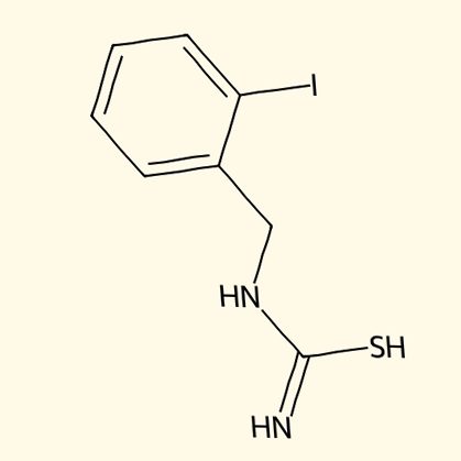 N=C(S)NCc1ccccc1I